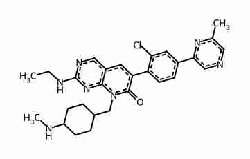 CCNc1ncc2cc(-c3ccc(-c4cncc(C)n4)cc3Cl)c(=O)n(CC3CCC(NC)CC3)c2n1